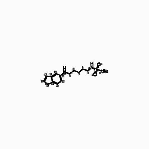 CC(C)(C)S(=O)(=O)NCCCCCNc1ccc2sccc2c1